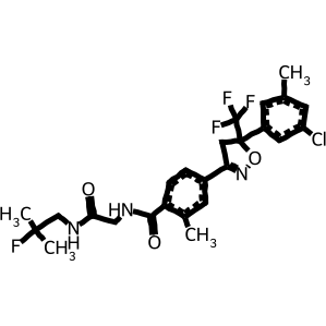 Cc1cc(Cl)cc(C2(C(F)(F)F)CC(c3ccc(C(=O)NCC(=O)NCC(C)(C)F)c(C)c3)=NO2)c1